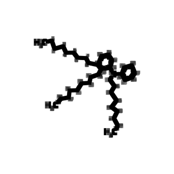 CCCCCCCCCc1cccc(N(CCCCCCCCC)c2ccccc2)c1CCCCCCCCC